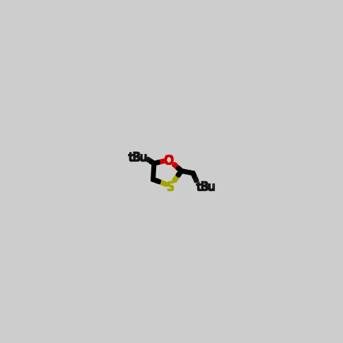 CC(C)(C)CC1OC(C(C)(C)C)CS1